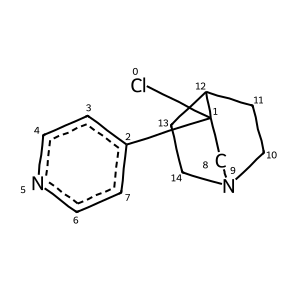 ClC1(c2ccncc2)CN2CCC1CC2